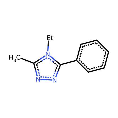 CCn1c(C)nnc1-c1ccccc1